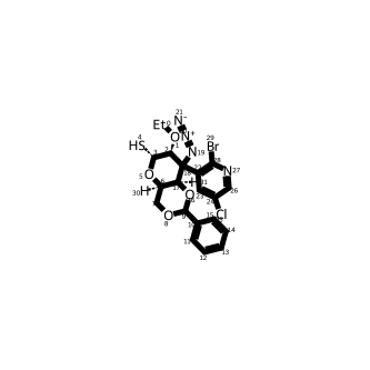 CCO[C@H]1[C@@H](S)O[C@@H]2COC(c3ccccc3)O[C@@H]2C1(N=[N+]=[N-])c1cc(Cl)cnc1Br